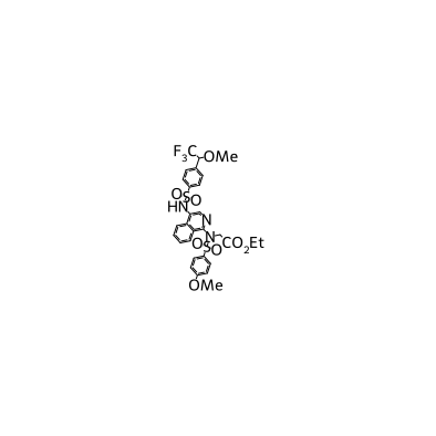 CCOC(=O)CN(c1ncc(NS(=O)(=O)c2ccc(C(OC)C(F)(F)F)cc2)c2ccccc12)S(=O)(=O)c1ccc(OC)cc1